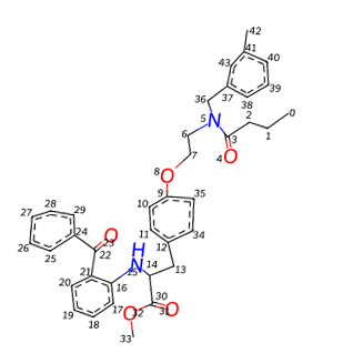 CCCC(=O)N(CCOc1ccc(CC(Nc2ccccc2C(=O)c2ccccc2)C(=O)OC)cc1)Cc1cccc(C)c1